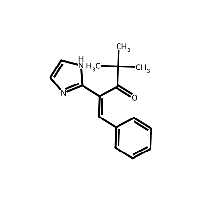 CC(C)(C)C(=O)C(=Cc1ccccc1)c1ncc[nH]1